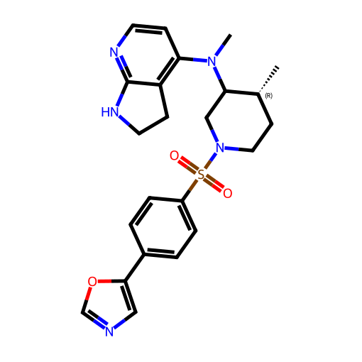 C[C@@H]1CCN(S(=O)(=O)c2ccc(-c3cnco3)cc2)CC1N(C)c1ccnc2c1CCN2